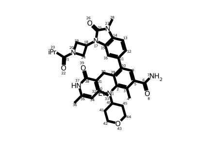 CCN(c1c(C)c(C(N)=O)cc(-c2ccc3c(c2)n(C2CN(C(=O)C(C)C)C2)c(=O)n3C)c1Cc1c(C)cc(C)[nH]c1=O)C1CCOCC1